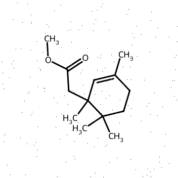 COC(=O)CC1(C)C=C(C)CCC1(C)C